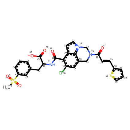 CS(=O)(=O)c1cccc(CC(NC(=O)c2c(Cl)cc3c4c2ccn4CN(C(=O)C=Cc2cccs2)C3)C(=O)O)c1